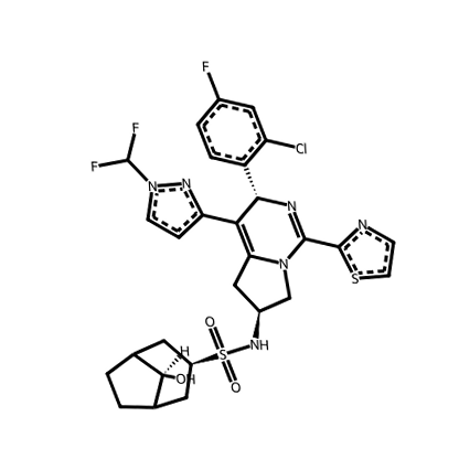 O=S(=O)(N[C@H]1CC2=C(c3ccn(C(F)F)n3)[C@H](c3ccc(F)cc3Cl)N=C(c3nccs3)N2C1)[C@H]1CC2CCC(C1)[C@H]2O